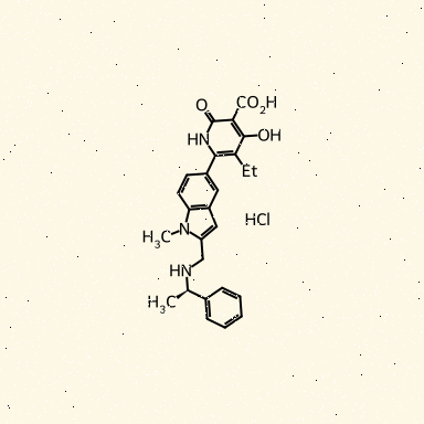 CCc1c(-c2ccc3c(c2)cc(CN[C@H](C)c2ccccc2)n3C)[nH]c(=O)c(C(=O)O)c1O.Cl